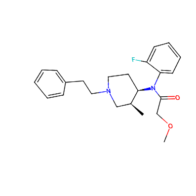 COCC(=O)N(c1ccccc1F)[C@@H]1CCN(CCc2ccccc2)C[C@@H]1C